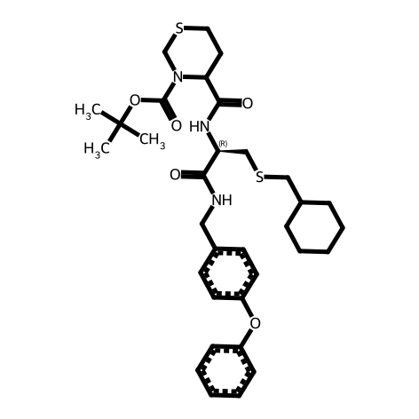 CC(C)(C)OC(=O)N1CSCCC1C(=O)N[C@@H](CSCC1CCCCC1)C(=O)NCc1ccc(Oc2ccccc2)cc1